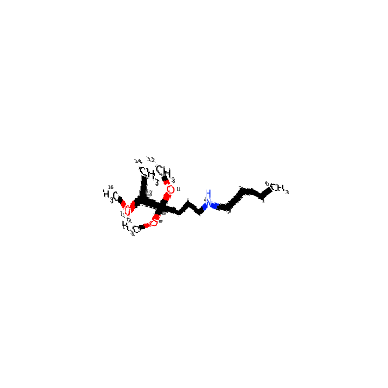 CCCCNCCCC(OC)(OC)C(C)OC